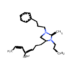 C=CCN1C(=C)N(CCCc2ccccc2)CC1CC/C=C(\C=C/C)CCCC